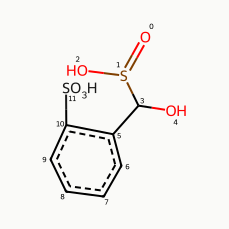 O=S(O)C(O)c1ccccc1S(=O)(=O)O